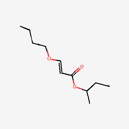 CCCCOC=CC(=O)OC(C)CC